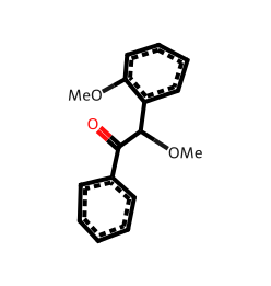 COc1ccccc1C(OC)C(=O)c1ccccc1